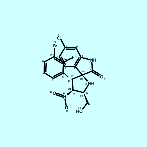 O=C1Nc2cc(Cl)ccc2[C@]12N[C@@H](CO)[C@@H]([N+](=O)[O-])[C@@H]2c1cccc(Br)c1F